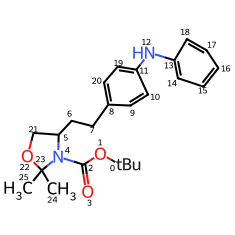 CC(C)(C)OC(=O)N1C(CCc2ccc(Nc3ccccc3)cc2)COC1(C)C